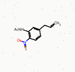 C=CCc1ccc([N+]([O-])=S)c(NC(C)=O)c1